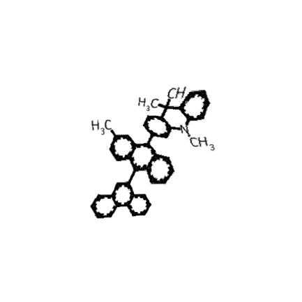 Cc1ccc2c(-c3cc4ccccc4c4ccccc34)c3ccccc3c(-c3ccc4c(c3)N(C)c3ccccc3C4(C)C)c2c1